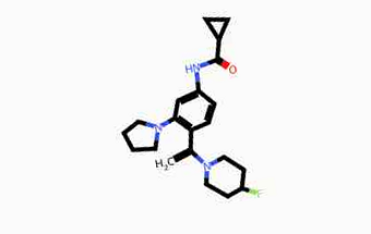 C=C(c1ccc(NC(=O)C2CC2)cc1N1CCCC1)N1CCC(F)CC1